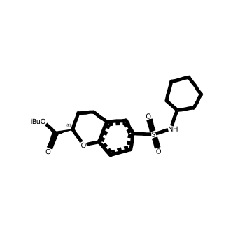 CC(C)COC(=O)[C@H]1CCc2cc(S(=O)(=O)NC3CCCCC3)ccc2O1